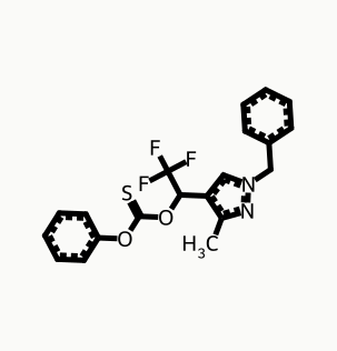 Cc1nn(Cc2ccccc2)cc1C(OC(=S)Oc1ccccc1)C(F)(F)F